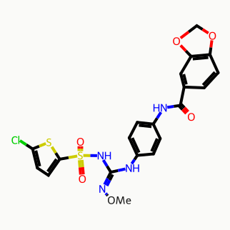 CO/N=C(\Nc1ccc(NC(=O)c2ccc3c(c2)OCO3)cc1)NS(=O)(=O)c1ccc(Cl)s1